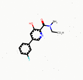 BN(CC(=O)O)C(=O)c1ncc(-c2cccc(F)c2)cc1O